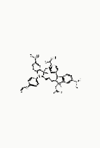 CC(=O)CC1(C)C(/C=C/C=C2\N(c3ccc(C(=O)O)cc3)c3ccc([N+](=O)[O-])cc3C2(C)CC(C)=O)=[N+](c2ccc(OC=O)cc2)c2ccc([N+](=O)[O-])cc21